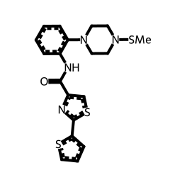 CSN1CCN(c2ccccc2NC(=O)c2csc(-c3cccs3)n2)CC1